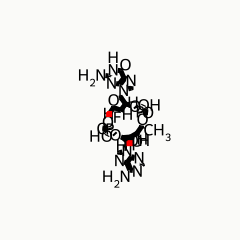 C[C@H]1OP(=O)(O)O[C@@H]2[C@H](F)[C@@H](COP(=O)(O)O[C@@H]3[C@H](O)[C@@H]1O[C@H]3n1cnc3c(N)ncnc31)O[C@H]2n1cnc2c(=O)[nH]c(N)nc21